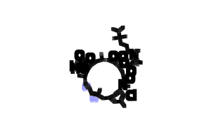 C/C1=C\C=C\C(C)C2(O)CC(OC(=O)N2)C(C)C2OC2(C)C(OC(=O)[C@H](C)N(C)C(=O)CCC(C)(C)C(C)C)CC(=O)N(C)c2cc(cc(C)c2Cl)C1